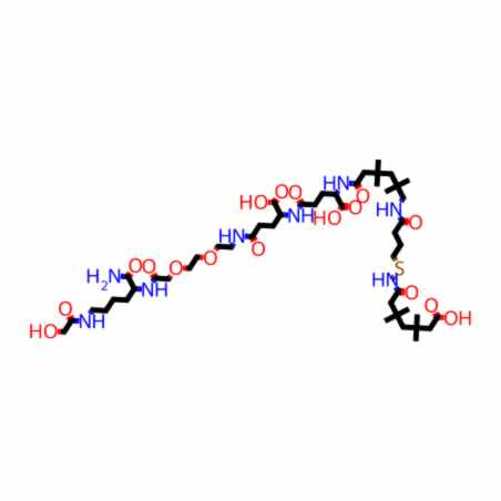 CC(C)(CNC(=O)CCCSNC(=O)CC(C)(C)CC(C)(C)CC(=O)O)CC(C)(C)CC(=O)NC(CCC(=O)NC(CCC(=O)NCCOCCOCC(=O)NC(CCCCNC(=O)CO)C(N)=O)C(=O)O)C(=O)O